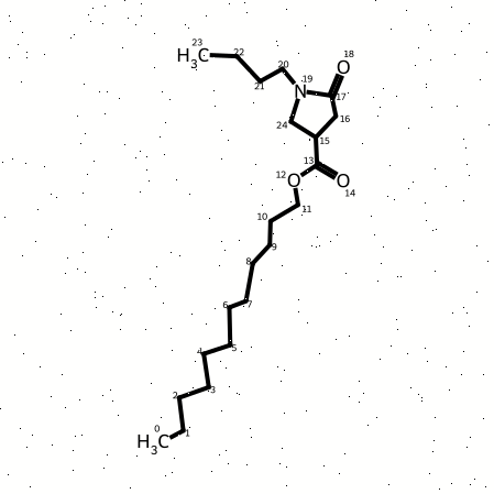 CCCCCCCCCCCCOC(=O)C1CC(=O)N(CCCC)C1